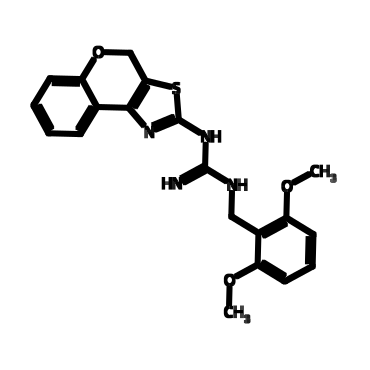 COc1cccc(OC)c1CNC(=N)Nc1nc2c(s1)COc1ccccc1-2